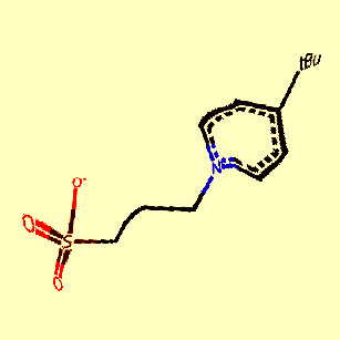 CC(C)(C)c1cc[n+](CCCS(=O)(=O)[O-])cc1